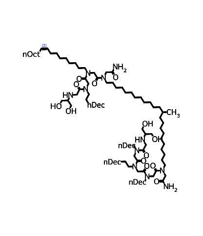 CCCCCCCC/C=C\CCCCCCCCN(CC(=O)N(CCCCCCCCCCCCC(C)CCCCCCCCCCN(CC(N)=O)C(=O)CN(CCCCCCCCCC)C(=O)CN(CCCCCCCCCCCC)C(=O)CN(CCCCCCCCCC)C(=O)CNC(CO)CO)CC(N)=O)C(=O)CN(CCCCCCCCCCCC)C(=O)CNC(CO)CO